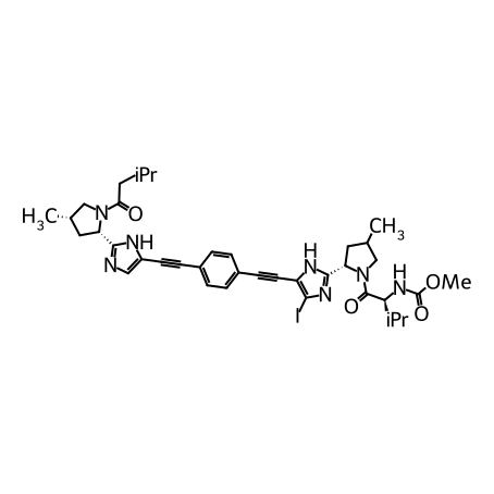 COC(=O)N[C@H](C(=O)N1CC(C)C[C@H]1c1nc(I)c(C#Cc2ccc(C#Cc3cnc([C@@H]4C[C@H](C)CN4C(=O)CC(C)C)[nH]3)cc2)[nH]1)C(C)C